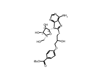 CC(C)COC(=O)c1ccc(OCC(O)CSc2nc3c(N)ncnc3n2[C@@H]2O[C@H](CO)[C@@H](O)[C@H]2O)cc1